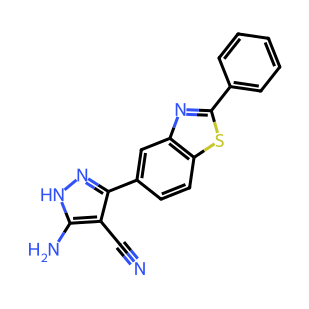 N#Cc1c(-c2ccc3sc(-c4ccccc4)nc3c2)n[nH]c1N